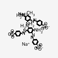 Cc1cc(N=Nc2ccc(S(=O)(=O)[O-])cc2)c(N)cc1N.Nc1cc(N)c(N=Nc2ccc(S(=O)(=O)[O-])cc2)cc1N=Nc1ccc(S(=O)(=O)[O-])cc1.[Na+].[Na+].[Na+]